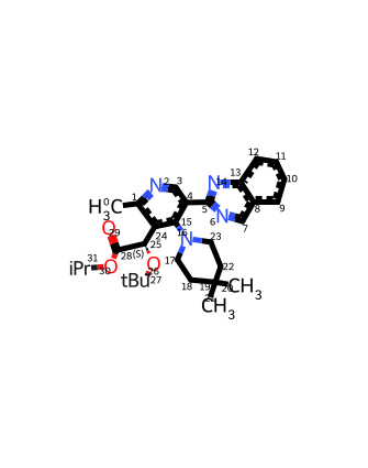 Cc1ncc(-c2ncc3ccccc3n2)c(N2CCC(C)(C)CC2)c1[C@H](OC(C)(C)C)C(=O)OC(C)C